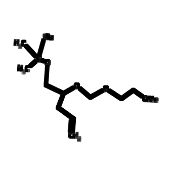 C=CCC(CO[Si](C)(C)C(C)(C)C)OCOCCOC